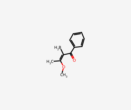 B/C(C(=O)c1ccccc1)=C(\C)OC